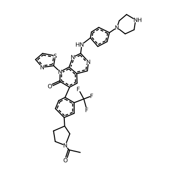 CC(=O)N1CCC(c2ccc(-c3cc4cnc(Nc5ccc(N6CCNCC6)cc5)nc4n(-c4nccs4)c3=O)c(C(F)(F)F)c2)C1